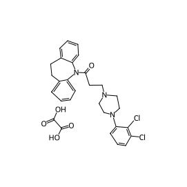 O=C(CCN1CCN(c2cccc(Cl)c2Cl)CC1)N1c2ccccc2CCc2ccccc21.O=C(O)C(=O)O